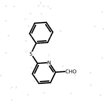 O=Cc1cccc(Sc2ccccc2)n1